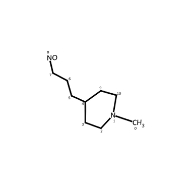 CN1CCC(CCCN=O)CC1